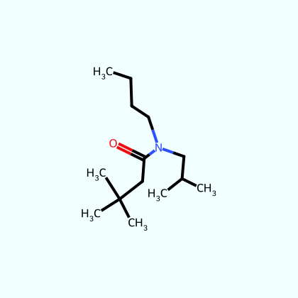 CCCCN(CC(C)C)C(=O)CC(C)(C)C